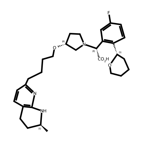 C[C@H]1CCc2ccc(CCCCO[C@@H]3CCN([C@@H](C(=O)O)c4cc(F)ccc4[C@@H]4CCCCO4)C3)nc2N1